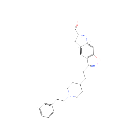 O=CC1Cc2cc3c(CCC4CCN(CCc5ccccc5)CC4)noc3cc2N1